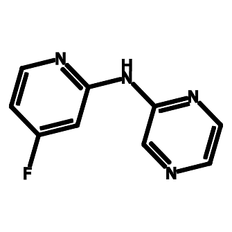 Fc1ccnc(Nc2cnccn2)c1